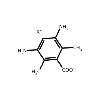 Cc1c(N)cc(N)c(C)c1C(=O)[O-].[K+]